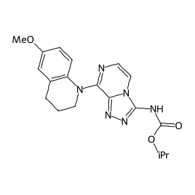 COc1ccc2c(c1)CCCN2c1nccn2c(NC(=O)OC(C)C)nnc12